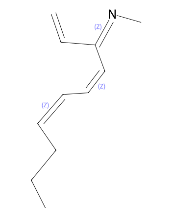 C=CC(/C=C\C=C/CCC)=N/C